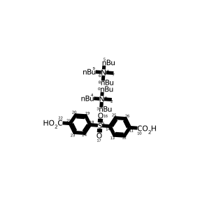 CCCC[N+](C)(CCCC)CCCC.CCCC[N+](C)(CCCC)CCCC.O=C(O)c1ccc(S(=O)(=O)c2ccc(C(=O)O)cc2)cc1